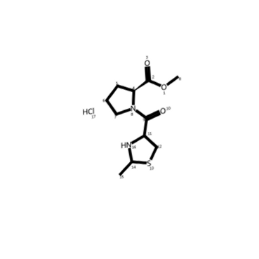 COC(=O)[C@@H]1CCCN1C(=O)C1CSC(C)N1.Cl